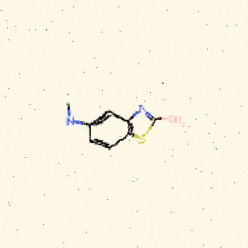 Bc1nc2cc(NC)ccc2s1